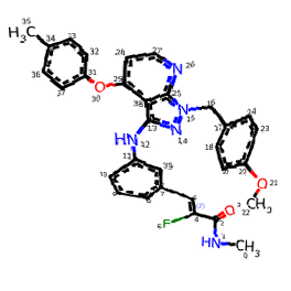 CNC(=O)/C(F)=C/c1cccc(Nc2nn(Cc3ccc(OC)cc3)c3nccc(Oc4ccc(C)cc4)c23)c1